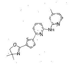 Cc1ccnc(Nc2cccc(-c3ccc(C4=NC(C)(C)CO4)s3)n2)c1